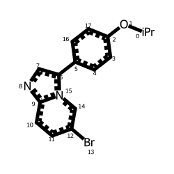 CC(C)Oc1ccc(-c2cnc3ccc(Br)cn23)cc1